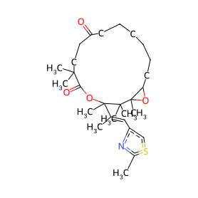 CC(=Cc1csc(C)n1)C1(C)OC(=O)C(C)(C)CCC(=O)CCCCCCC2OC2(C)C1(C)C